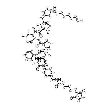 CC[C@H](C)[C@@H]([C@@H](CC(=O)N1CCC[C@H]1[C@H](OC)[C@@H](C)C(=O)N[C@@H](Cc1ccccc1)C(=O)Nc1ccc(CNC(=O)CCCCCN2C(=O)C=CC2=O)cc1)OC)N(C)C(=O)[C@@H](NC(=O)CC1CC[C@H](NCCCCCCO)C1)C(C)C